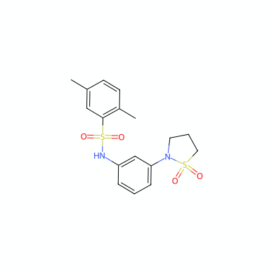 Cc1ccc(C)c(S(=O)(=O)Nc2cccc(N3CCCS3(=O)=O)c2)c1